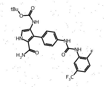 CC(C)(C)OC(=O)Nc1c[nH]c(C(N)=O)c1-c1ccc(NC(=O)Nc2cc(C(F)(F)F)ccc2F)cc1